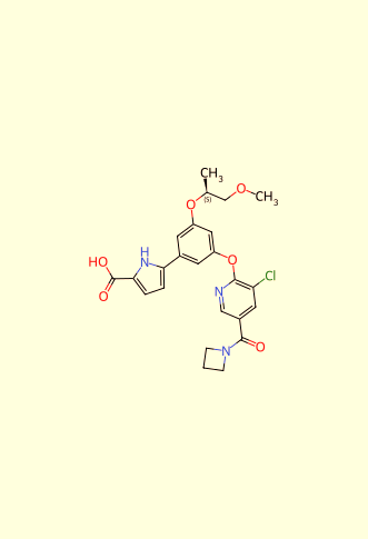 COC[C@H](C)Oc1cc(Oc2ncc(C(=O)N3CCC3)cc2Cl)cc(-c2ccc(C(=O)O)[nH]2)c1